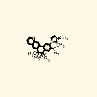 Cc1cc2c(cc1N1C=CN(C)[C@@H]1C)-c1cc3ncccc3cc1C(C)(C)C2(C)C